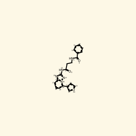 O=C(CCNC(=O)c1ccccc1)Nc1nc2cccc(-c3ccoc3)n2n1